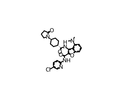 CN(C)c1cccc2oc(C(=O)Nc3ccc(Cl)cn3)c(NC(=O)[C@H]3CC[C@H](N4CCCC4=O)CC3)c12